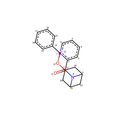 O=C(c1ccccn1)N1C2CC(OCc3ccccc3)CC1C2